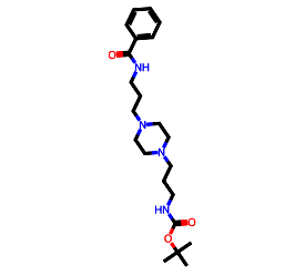 CC(C)(C)OC(=O)NCCCN1CCN(CCCNC(=O)c2ccccc2)CC1